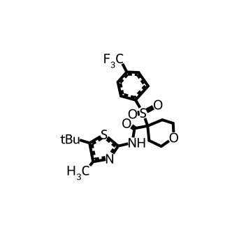 Cc1nc(NC(=O)C2(S(=O)(=O)c3ccc(C(F)(F)F)cc3)CCOCC2)sc1C(C)(C)C